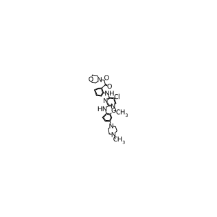 COc1cc(N2CCN(C)CC2)ccc1Nc1ncc(Cl)c(Nc2ccccc2C(=O)C(=O)N2CCOCC2)n1